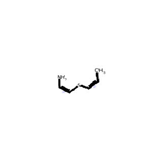 C/C=C\S/C=C\N